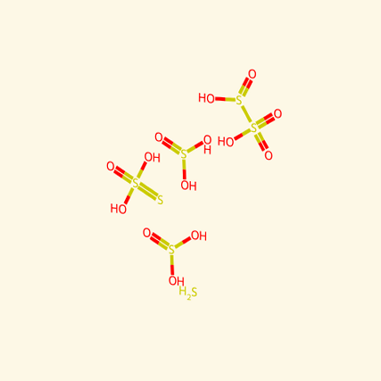 O=S(O)(O)=S.O=S(O)O.O=S(O)O.O=S(O)S(=O)(=O)O.S